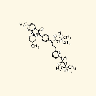 Cc1ccc(C(=O)Nc2ccc(N(CCc3cccc(NC(=O)OC(C)(C)C)n3)C(=O)OC(C)(C)C)cc2)c(N2CCC(C)CC2)n1